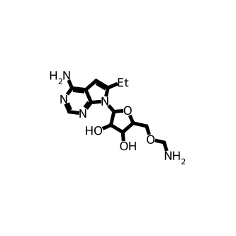 CCc1cc2c(N)ncnc2n1C1OC(COCN)C(O)C1O